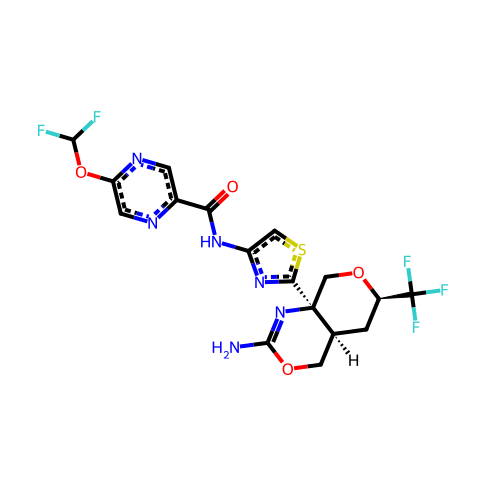 NC1=N[C@@]2(c3nc(NC(=O)c4cnc(OC(F)F)cn4)cs3)CO[C@@H](C(F)(F)F)C[C@H]2CO1